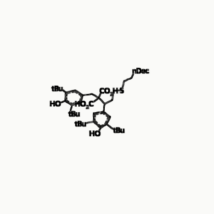 CCCCCCCCCCCCSCCC(c1cc(C(C)(C)C)c(O)c(C(C)(C)C)c1)C(Cc1cc(C(C)(C)C)c(O)c(C(C)(C)C)c1)(C(=O)O)C(=O)O